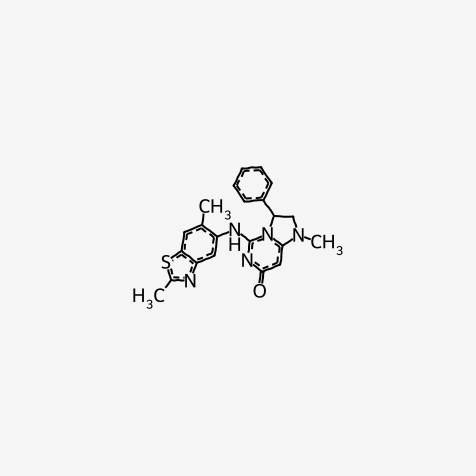 Cc1nc2cc(Nc3nc(=O)cc4n3C(c3ccccc3)CN4C)c(C)cc2s1